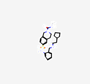 CC(C)NC(=O)N1CCc2cc(S(=O)(=O)Nc3ccccc3CN[C@@H](C)CC3CCCC3)ccc2C1